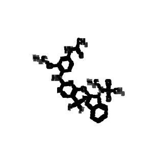 COc1cc(NC(C)=O)ccc1Nc1ncc(C(F)(F)F)c(O[C@@H]2Cc3ccccc3[C@H]2N(C)S(C)(=O)=O)n1